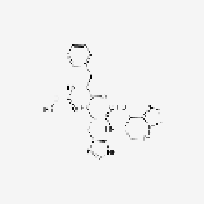 CC(C)C[C@H](NC(=O)[C@H](Cc1c[nH]cn1)NC(=O)[C@H](Cc1ccccc1)NC(=O)OC(C)(C)C)[C@H](O)c1ncc[nH]1